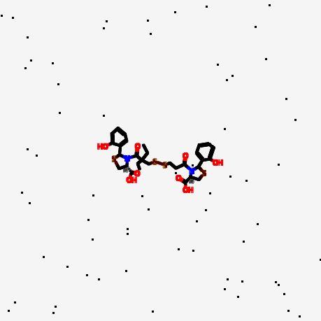 CCC(CC)(CSSCCC(=O)N1C(c2ccccc2O)SC[C@H]1C(=O)O)C(=O)N1C(c2ccccc2O)SC[C@H]1C(=O)O